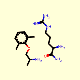 Cc1cccc(C)c1OCC(C)N.N=C(N)NCCCC(N)C(N)=O